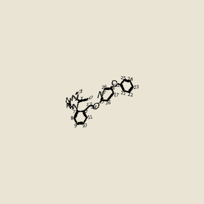 C=C1N(C)N=NN1c1ccccc1COc1ccc(Oc2ccccc2)cn1